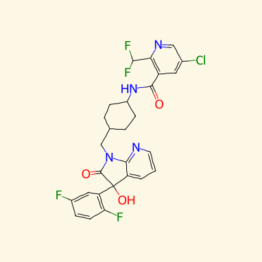 O=C(NC1CCC(CN2C(=O)C(O)(c3cc(F)ccc3F)c3cccnc32)CC1)c1cc(Cl)cnc1C(F)F